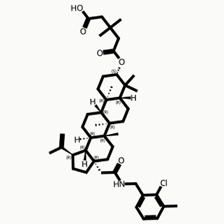 C=C(C)[C@@H]1CC[C@]2(CC(=O)NCc3cccc(C)c3Cl)CC[C@]3(C)[C@H](CC[C@@H]4[C@@]5(C)CC[C@H](OC(=O)CC(C)(C)CC(=O)O)C(C)(C)[C@@H]5CC[C@]43C)[C@@H]12